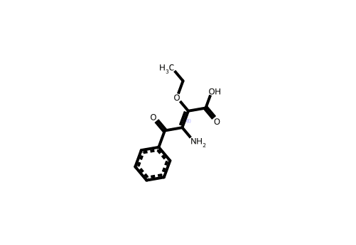 CCO/C(C(=O)O)=C(/N)C(=O)c1ccccc1